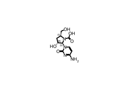 Nc1ccn([C@H]2[C@H](O)C[C@@H](CO)N2C(=O)O)c(=O)n1